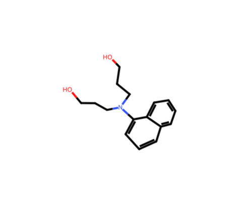 OCCCN(CCCO)c1cccc2ccccc12